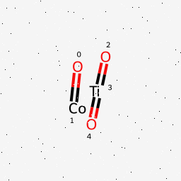 [O]=[Co].[O]=[Ti]=[O]